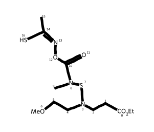 CCOC(=O)CCN(CCOC)SN(C)C(=O)ON=C(C)S